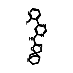 Fc1ncccc1-c1cc(NC2=NC[C@@]3(CN4CCC3CC4)O2)ncn1